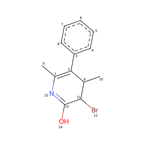 CC1=C(c2ccccc2)C(C)C(Br)C(O)=N1